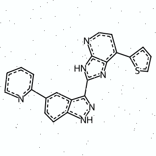 c1ccc(-c2ccc3[nH]nc(-c4nc5c(-c6cccs6)ccnc5[nH]4)c3c2)nc1